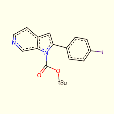 CC(C)(C)OC(=O)n1c(-c2ccc(I)cc2)cc2ccncc21